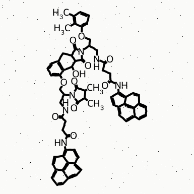 Cc1cccc(OCC(CNC(=O)CCC(=O)Nc2ccc3ccc4cccc5ccc2c3c45)N2C(=O)C3Cc4cccc(OCC(CNC(=O)CCC(=O)Nc5ccc6ccc7cccc8ccc5c6c78)N5C(=O)C(C)C(C)C5=O)c4C(O)C3C2=O)c1C